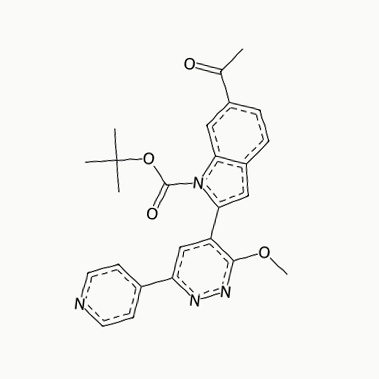 COc1nnc(-c2ccncc2)cc1-c1cc2ccc(C(C)=O)cc2n1C(=O)OC(C)(C)C